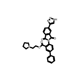 O=C(OCCN1CCCC1)c1cc(-c2ccccc2)ccc1N1C(=O)c2ccc(-c3c[nH]nn3)cc2C1=O